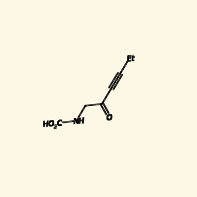 CCC#CC(=O)CNC(=O)O